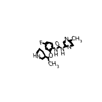 Cc1cnc(NC(=O)Nc2ccc(F)cc2OC(C)C2CCCNC2)cn1